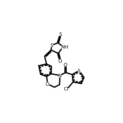 O=C1NC(=S)SC1=Cc1ccc2c(c1)N(C(=O)c1sccc1Cl)CCO2